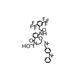 CC(CO)N1C[C@@H](C)[C@@H](CN(C)Cc2ccc(N(C)c3ccccc3)cc2)Oc2c(NC(=O)Cc3cc(C(F)(F)F)ccc3C(F)(F)F)cccc2C1=O